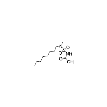 CCCCCCCCN(C)S(=O)(=O)NC(=O)O